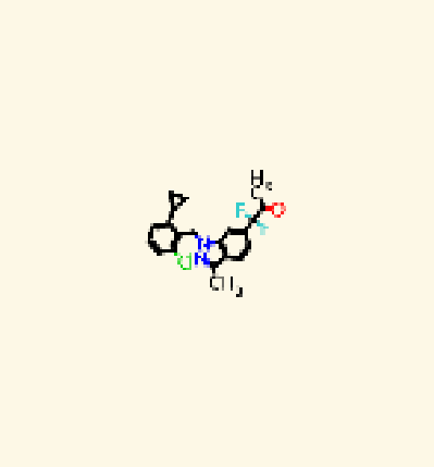 CC(=O)C(F)(F)c1ccc2c(C)nn(Cc3c(Cl)cccc3C3CC3)c2c1